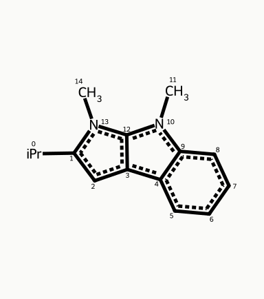 CC(C)c1cc2c3ccccc3n(C)c2n1C